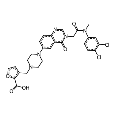 CN(C(=O)Cn1cnc2ccc(N3CCN(Cc4ccoc4C(=O)O)CC3)cc2c1=O)c1ccc(Cl)c(Cl)c1